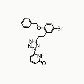 O=c1cccc(-n2nnc(CCc3cc(Br)ccc3OCc3ccccc3)n2)[nH]1